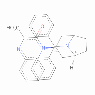 O=C(O)c1nc2ccccc2n([C@H]2CC3CC[C@@H](C2)N3C(c2ccccc2)c2ccccc2)c1=O